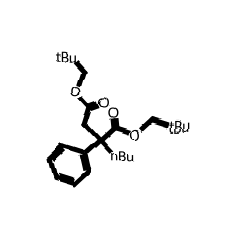 CCCCC(CC(=O)OCC(C)(C)C)(C(=O)OCC(C)(C)C)c1ccccc1